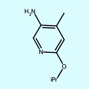 Cc1cc(OC(C)C)ncc1N